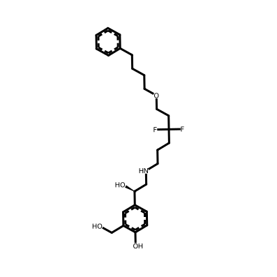 OCc1cc([C@@H](O)CNCCCC(F)(F)CCOCCCCc2ccccc2)ccc1O